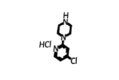 Cl.Clc1ccnc(N2CCNCC2)c1